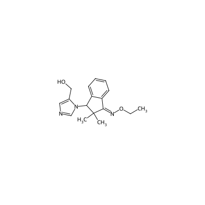 CCO/N=C1\c2ccccc2C(n2cncc2CO)C1(C)C